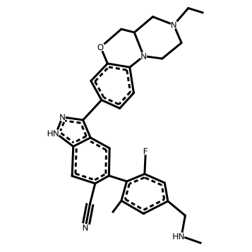 CCN1CCN2c3ccc(-c4n[nH]c5cc(C#N)c(-c6c(C)cc(CNC)cc6F)cc45)cc3OCC2C1